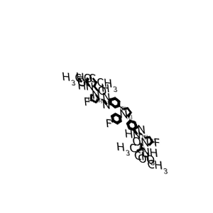 COC(=O)NC(C(=O)N1C[C@@H](F)C[C@H]1c1nc2cc([C@H]3CC[C@H](c4ccc5[nH]c([C@@H]6C[C@H](F)CN6C(=O)[C@@H](NC(=O)OC)C(C)C)nc5c4)N3c3ccc(F)cc3)ccc2[nH]1)C(C)C